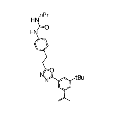 C=C(C)c1cc(-c2nnc(CCc3ccc(NC(=O)NCCC)cc3)o2)cc(C(C)(C)C)c1